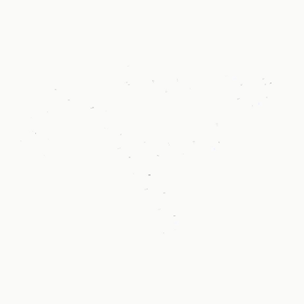 C=C(CCCN1CCCC1)OCC(COC(=O)CCCCCCC/C=C\C/C=C\CCCCC)COC(=O)CCC(OCCCC/C=C\CC)OCCCC/C=C\CC